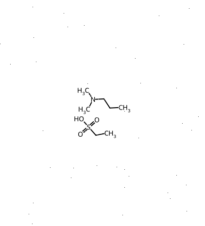 CCCN(C)C.CCS(=O)(=O)O